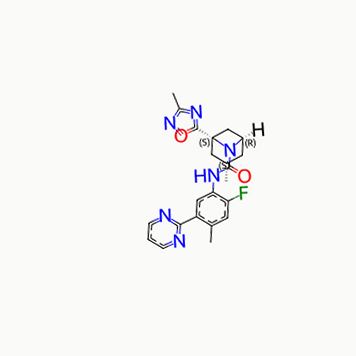 Cc1noc([C@]23C[C@@H](C)C[C@H](C2)N3C(=O)Nc2cc(-c3ncccn3)c(C)cc2F)n1